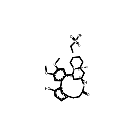 CCS(=O)(=O)O.COc1cc2c(cc1OC)[C@@H]1C[C@H](C[C@@H]3CCCCN31)OC(=O)CCc1ccc(O)c-2c1